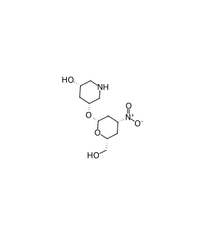 O=[N+]([O-])[C@@H]1C[C@H](CO)O[C@H](O[C@H]2CNC[C@@H](O)C2)C1